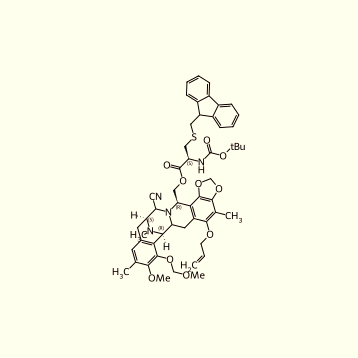 C=CCOc1c(C)c2c(c3c1CC1[C@H]4c5c(cc(C)c(OC)c5OCOC)C[C@@H](C(C#N)N1[C@H]3COC(=O)[C@@H](CSCC1c3ccccc3-c3ccccc31)NC(=O)OC(C)(C)C)N4C)OCO2